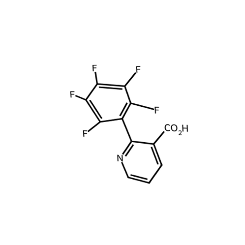 O=C(O)c1cccnc1-c1c(F)c(F)c(F)c(F)c1F